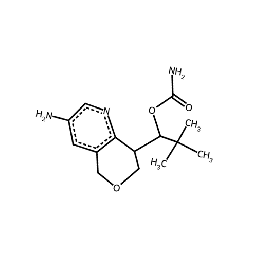 CC(C)(C)C(OC(N)=O)C1COCc2cc(N)cnc21